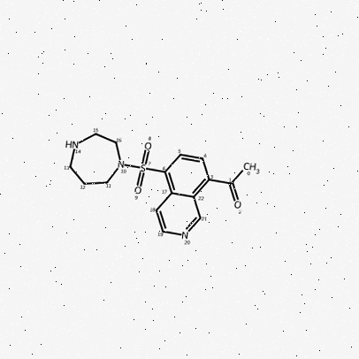 CC(=O)c1ccc(S(=O)(=O)N2CCCNCC2)c2ccncc12